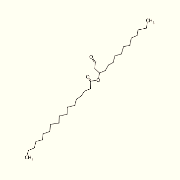 CCCCCCCCCCCCCCCCCC(=O)OC(C[C]=O)CCCCCCCCCCCC